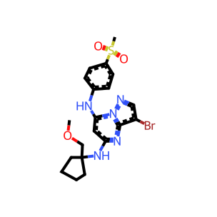 COCC1(Nc2cc(Nc3ccc(S(C)(=O)=O)cc3)n3ncc(Br)c3n2)CCCC1